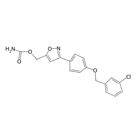 NC(=O)OCc1cc(-c2ccc(OCc3cccc(Cl)c3)cc2)no1